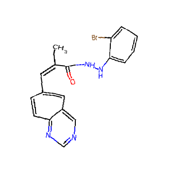 CC(=Cc1ccc2ncncc2c1)C(=O)NNc1ccccc1Br